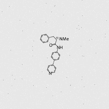 CN[C@@H](Cc1ccccc1)C(=O)Nc1ccc(-c2ccncc2)cc1